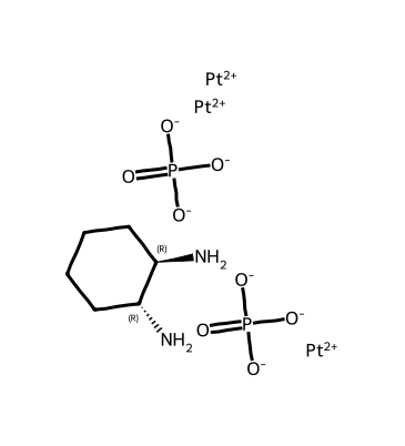 N[C@@H]1CCCC[C@H]1N.O=P([O-])([O-])[O-].O=P([O-])([O-])[O-].[Pt+2].[Pt+2].[Pt+2]